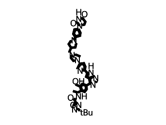 CC(NC(=O)c1nc(C(C)(C)C)no1)c1ccc(-c2ncnc3[nH]c(-c4ccc(N5CCN(CC6CCN(c7ccc(N8CCC(=O)NC8=O)cc7)CC6)CC5)cn4)cc23)cc1CO